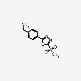 CS(=O)(=O)c1nnc(-c2ccc(CN)cc2)o1